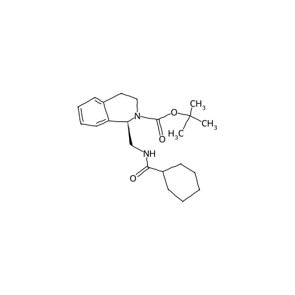 CC(C)(C)OC(=O)N1CCc2ccccc2[C@@H]1CNC(=O)C1CCCCC1